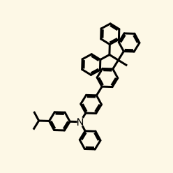 CC(C)c1ccc(N(c2ccccc2)c2ccc(-c3ccc(C(C)(c4ccccc4)C(c4ccccc4)c4ccccc4)cc3)cc2)cc1